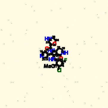 COc1c(Cl)cc(F)cc1Nc1c(-c2ccncc2OCC2CNCCO2)[nH]c2c1C(=O)NCC2